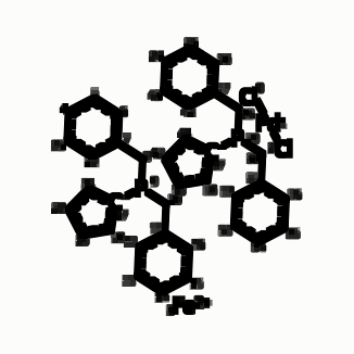 [Cl][Pd][Cl].[Fe+2].c1ccc(CP(Cc2ccccc2)[c-]2cccc2)cc1.c1ccc(CP(Cc2ccccc2)[c-]2cccc2)cc1